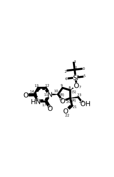 CC(C)(C)[Si](C)(C)O[C@H]1C[C@H](n2ccc(=O)[nH]c2=O)O[C@]1(C=O)CO